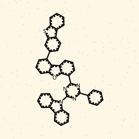 c1ccc(-c2nc(-c3cccc4c3oc3cccc(-c5ccc6c(c5)sc5ccccc56)c34)nc(-n3c4ccccc4c4ccccc43)n2)cc1